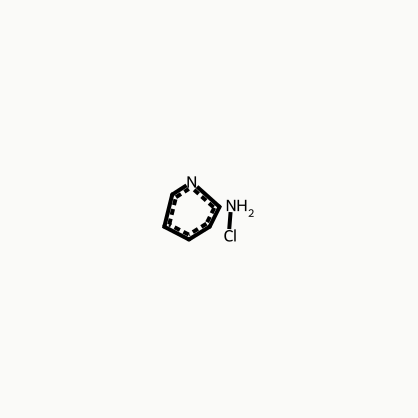 NCl.c1ccncc1